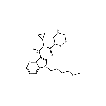 COCCCCn1cc([C@@H](C)N(C(=O)[C@H]2CNCCO2)C2CC2)c2ncccc21